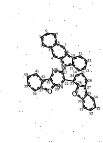 c1ccc2cc3c(cc2c1)c1ccccc1n3-c1nc2c(nc1-c1cccc3c1oc1ccccc13)oc1ccccc12